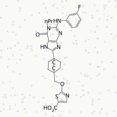 CCCn1c(Nc2cccc(F)c2)nc2nc(C34CCC(COc5ncc(C(=O)O)s5)(CC3)CC4)[nH]c2c1=O